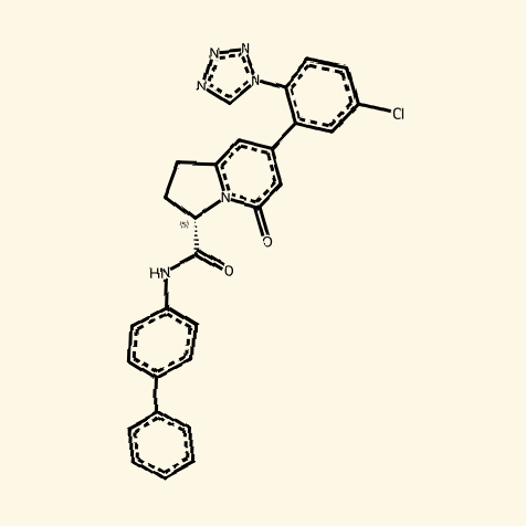 O=C(Nc1ccc(-c2ccccc2)cc1)[C@@H]1CCc2cc(-c3cc(Cl)ccc3-n3cnnn3)cc(=O)n21